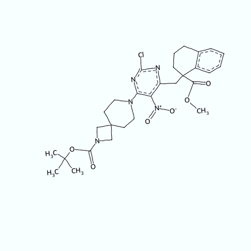 COC(=O)C1(Cc2nc(Cl)nc(N3CCC4(CC3)CN(C(=O)OC(C)(C)C)C4)c2[N+](=O)[O-])CCCc2ccccc21